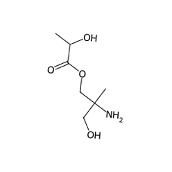 CC(O)C(=O)OCC(C)(N)CO